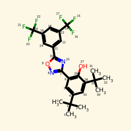 CC(C)(C)c1cc(-c2noc(-c3cc(C(F)(F)F)cc(C(F)(F)F)c3)n2)c(O)c(C(C)(C)C)c1